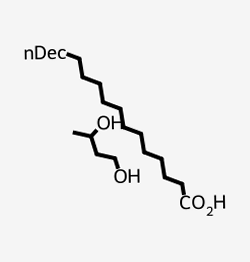 CC(O)CCO.CCCCCCCCCCCCCCCCCCCCCC(=O)O